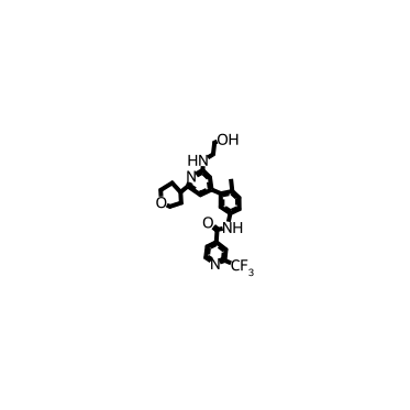 Cc1ccc(NC(=O)c2ccnc(C(F)(F)F)c2)cc1-c1cc(NCCO)nc(C2CCOCC2)c1